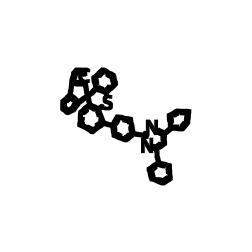 c1ccc(-c2cc(-c3ccccc3)nc(-c3ccc(-c4cccc5c4Sc4ccccc4C54c5ccccc5-c5ccccc54)cc3)n2)cc1